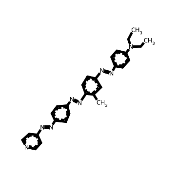 CCN(CC)c1ccc(N=Nc2ccc(N=Nc3ccc(N=Nc4ccncc4)cc3)c(C)c2)cc1